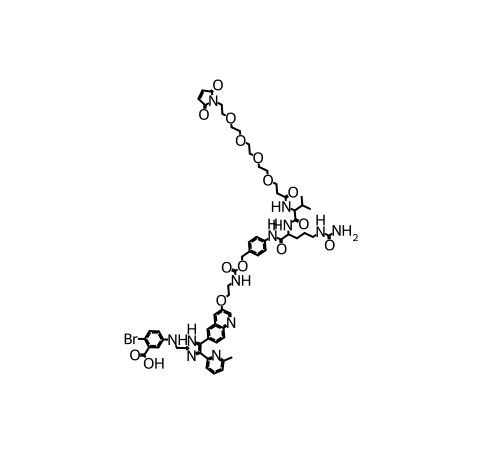 Cc1cccc(-c2nc(CNc3ccc(Br)c(C(=O)O)c3)[nH]c2-c2ccc3ncc(OCCNC(=O)OCc4ccc(NC(=O)C(CCCNC(N)=O)NC(=O)C(NC(=O)CCOCCOCCOCCOCCN5C(=O)C=CC5=O)C(C)C)cc4)cc3c2)n1